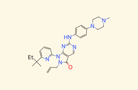 C=CCn1c(=O)c2cnc(Nc3ccc(N4CCN(C)CC4)cc3)nc2n1-c1cccc(C(C)(C)CC)n1